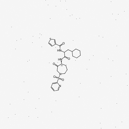 O=C(NC(CC1CCCCC1)C(=O)N[C@H]1CCCN(S(=O)(=O)c2ccccn2)CC1=O)c1ccsc1